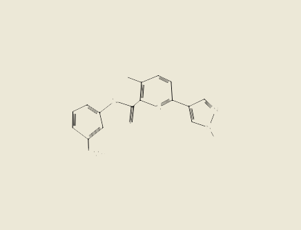 COc1cccc(NC(=O)c2nc(-c3cnn(C)c3)ccc2C)c1